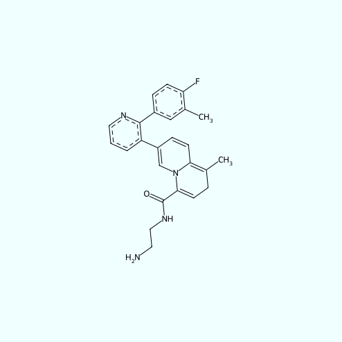 CC1=C2C=CC(c3cccnc3-c3ccc(F)c(C)c3)=CN2C(C(=O)NCCN)=CC1